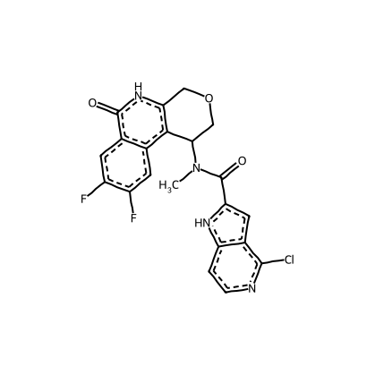 CN(C(=O)c1cc2c(Cl)nccc2[nH]1)C1COCc2[nH]c(=O)c3cc(F)c(F)cc3c21